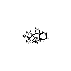 C=C(C)C(C)(C)C(C)c1ccccc1C=O